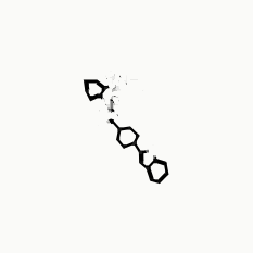 NS(=O)(=O)c1ccccc1S(=O)(=O)NC(=O)C1CCC(c2cc3ccccc3o2)CC1